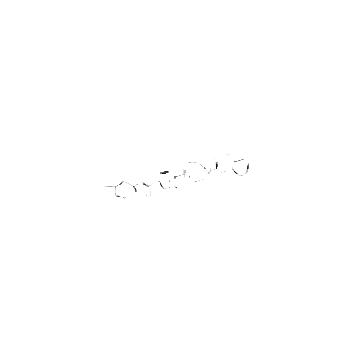 O=C(Cc1ccccc1F)N1CCN(c2ccc(-c3nc4cc(Cl)ccc4[nH]3)cn2)CC1